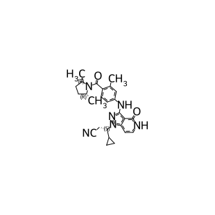 Cc1cc(Nc2nn([C@@H](CC#N)C3CC3)c3cc[nH]c(=O)c23)ccc1C(=O)N1[C@H](C)CC[C@H]1C